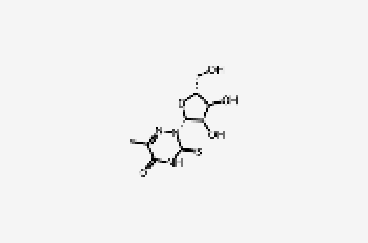 Cc1nn([C@@H]2O[C@H](CO)C(O)C2O)c(=S)[nH]c1=O